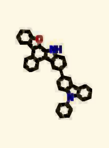 c1ccc(-n2c3ccccc3c3cc(-c4ccc5[nH]c6c7oc8ccccc8c7c7ccccc7c6c5c4)ccc32)cc1